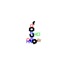 CCCOC1CCC(N2CCC(n3c(=O)[nH]c4ccc(Br)cc43)CC2)CC1.Cl